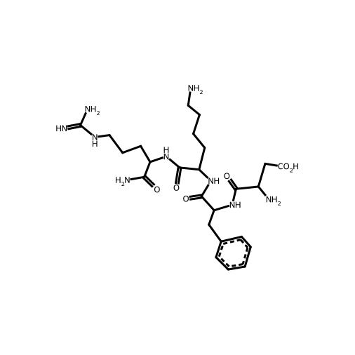 N=C(N)NCCCC(NC(=O)C(CCCCN)NC(=O)C(Cc1ccccc1)NC(=O)C(N)CC(=O)O)C(N)=O